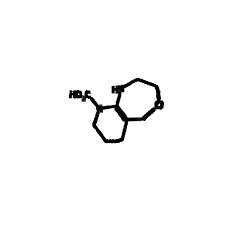 O=C(O)N1CCCC2=C1NCCOC2